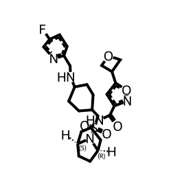 O=C(NC1C[C@H]2CC[C@@H](C1)N2S(=O)(=O)CC1CCC(NCc2ccc(F)cn2)CC1)c1cc(C2COC2)on1